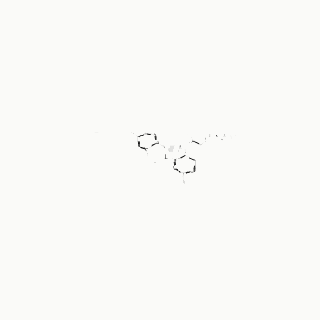 CCOC(=O)c1ccc(NC(=O)c2cc(Cl)ccc2OC(=COC)C(=O)O)c(Cl)c1